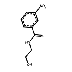 O=C(NCCO)c1cccc([N+](=O)[O-])c1